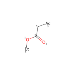 [CH2]COC(=O)CC([CH2])=O